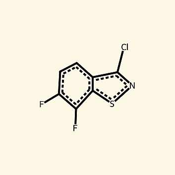 Fc1ccc2c(Cl)nsc2c1F